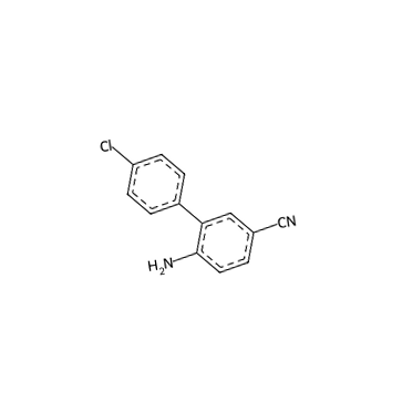 N#Cc1ccc(N)c(-c2ccc(Cl)cc2)c1